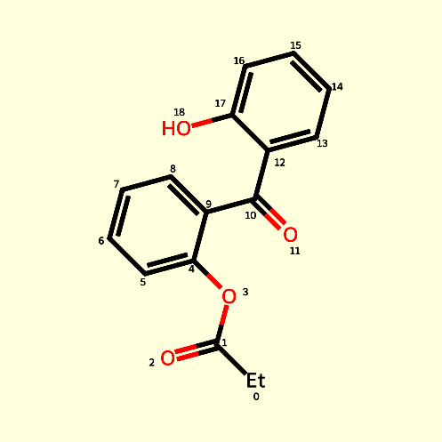 CCC(=O)Oc1ccccc1C(=O)c1ccccc1O